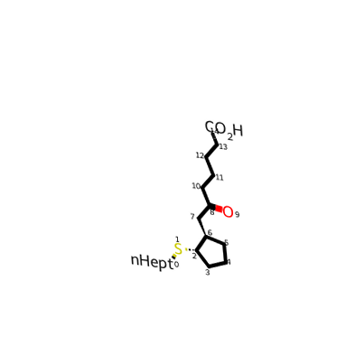 CCCCCCCS[C@H]1CCC[C@@H]1CC(=O)CCCCC(=O)O